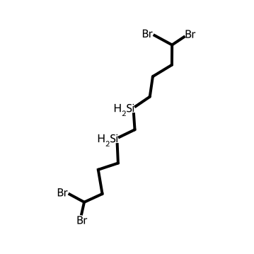 BrC(Br)CCC[SiH2]C[SiH2]CCCC(Br)Br